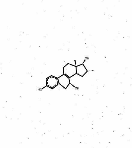 C[C@@H]1CC2C3=C(CC[C@]2(C)[C@H]1O)c1ccc(O)cc1C[C@@H]3O